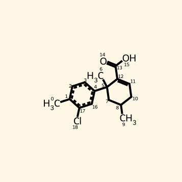 Cc1ccc(C2(C)CC(C)CC=C2C(=O)O)cc1Cl